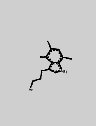 CC(=O)CCCc1c[nH]c2c(C)cc(C)c(C)c12